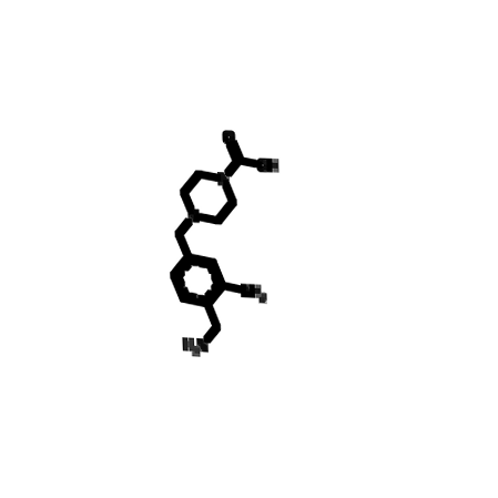 NCc1ccc(CN2CCN(C(=O)O)CC2)cc1N